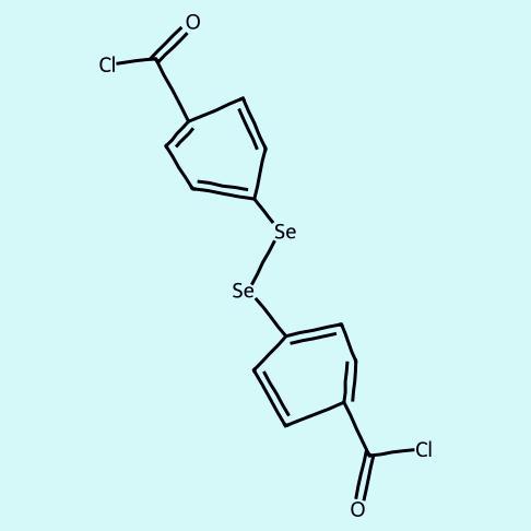 O=C(Cl)c1ccc([Se][Se]c2ccc(C(=O)Cl)cc2)cc1